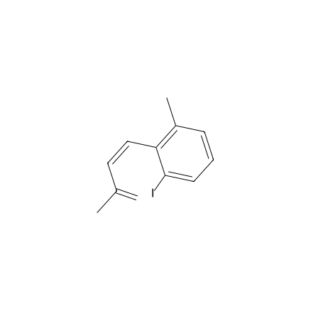 C=C(C)/C=C\c1c(C)cccc1I